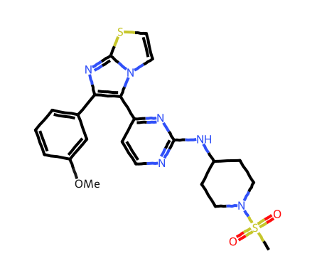 COc1cccc(-c2nc3sccn3c2-c2ccnc(NC3CCN(S(C)(=O)=O)CC3)n2)c1